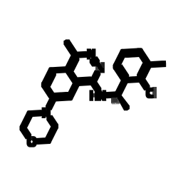 Cc1cccc([C@@H](C)Nc2nnc(C)c3ccc(N4CCOCC4)cc23)c1Cl